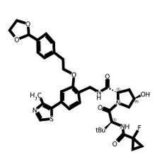 Cc1ncsc1-c1ccc(CNC(=O)[C@@H]2C[C@@H](O)CN2C(=O)[C@@H](NC(=O)C2(F)CC2)C(C)(C)C)c(OCCc2ccc(C3OCCO3)cc2)c1